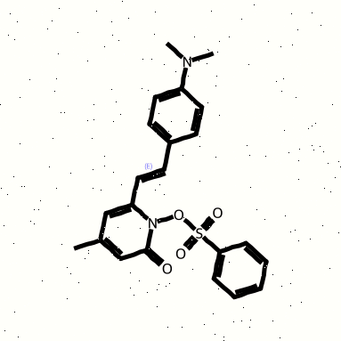 Cc1cc(/C=C/c2ccc(N(C)C)cc2)n(OS(=O)(=O)c2ccccc2)c(=O)c1